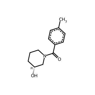 Cc1ccc(C(=O)N2CCC[C@@H](O)C2)cc1